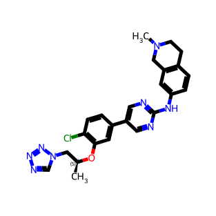 C[C@@H](Cn1cnnn1)Oc1cc(-c2cnc(Nc3ccc4c(c3)CN(C)CC4)nc2)ccc1Cl